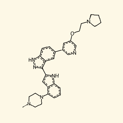 CN1CCN(c2cccc3[nH]c(-c4n[nH]c5ccc(-c6cncc(OCCN7CCCC7)c6)cc45)cc23)CC1